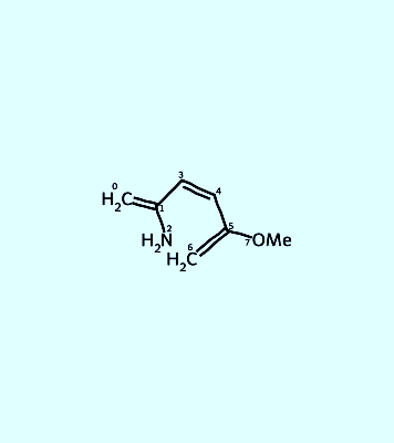 C=C(N)/C=C\C(=C)OC